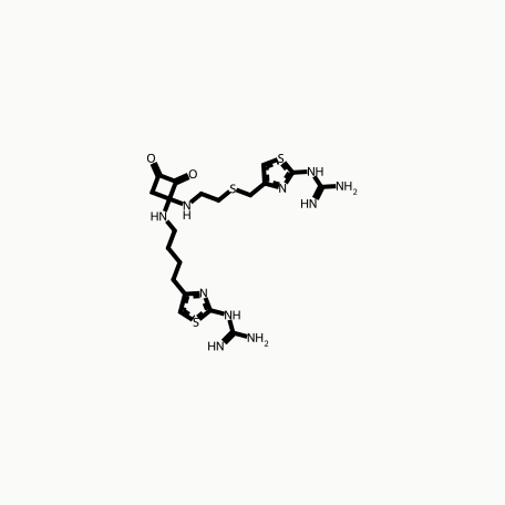 N=C(N)Nc1nc(CCCCNC2(NCCSCc3csc(NC(=N)N)n3)CC(=O)C2=O)cs1